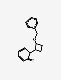 O=C1C=CC=CC1C1CCC1OCc1ccccc1